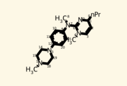 CCCC1C=CN(C)C(N(C)c2ccc(N3CCN(C)CC3)cc2)=N1